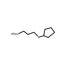 CCCCCCCC[N]C1CCCC1